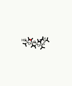 CC(C)[SiH](S[Si](O[Si](O[Si](O[Si](O)(C(C)C)C(C)C)(C(C)C)C(C)C)(C(C)C)C(C)C)(C(C)C)C(C)C)C(C)C